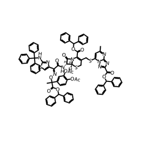 CC(=O)Oc1ccc(C(C)(ON=C(C(=O)N[C@@H]2C(=O)N3C(C(=O)OC(c4ccccc4)c4ccccc4)=C(CSc4cc(C)nc5nc(C(=O)OC(c6ccccc6)c6ccccc6)nn45)CS[C@H]23)c2csc(NC(c3ccccc3)(c3ccccc3)c3ccccc3)n2)C(=O)OC(c2ccccc2)c2ccccc2)cc1OC(C)=O